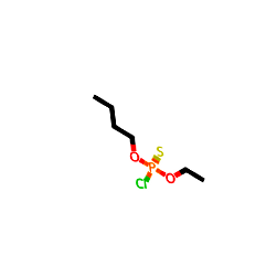 CCCCOP(=S)(Cl)OCC